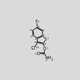 NC(=O)Oc1sc2cc(F)ccc2c1Cl